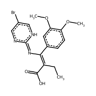 CCC(C(=O)O)=C(N=c1ncc(Br)c[nH]1)c1ccc(OC)c(OC)c1